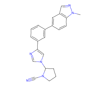 Cn1ncc2cc(-c3cccc(-c4cn(C5CCCN5C#N)cn4)c3)ccc21